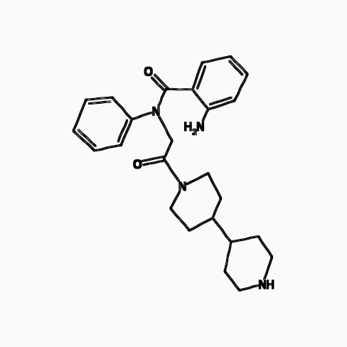 Nc1ccccc1C(=O)N(CC(=O)N1CCC(C2CCNCC2)CC1)c1ccccc1